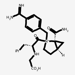 CC(C)C[C@@H](NCC(=O)O)C(=O)[N+]1(Cc2ccc(C(=N)N)cc2)CC[C@@H]2C[C@@]21C(N)=O